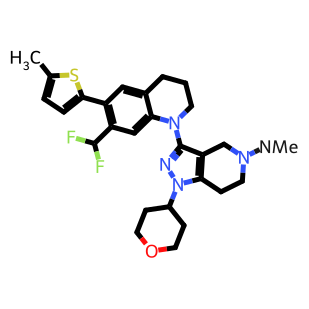 CNN1CCc2c(c(N3CCCc4cc(-c5ccc(C)s5)c(C(F)F)cc43)nn2C2CCOCC2)C1